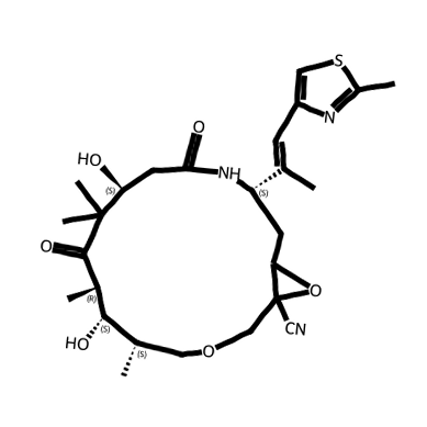 CC(=Cc1csc(C)n1)[C@@H]1CC2OC2(C#N)COC[C@H](C)[C@H](O)[C@@H](C)C(=O)C(C)(C)[C@@H](O)CC(=O)N1